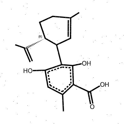 C=C(C)[C@@H]1CCC(C)=CC1c1c(O)cc(C)c(C(=O)O)c1O